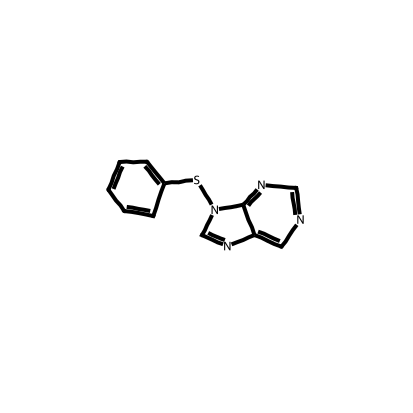 c1ccc(Sn2cnc3cncnc32)cc1